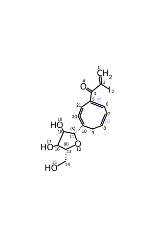 C=C(I)C(=O)/C1=C/C=C\CC([C@@H]2O[C@H](CO)C(O)C2O)=C=C1